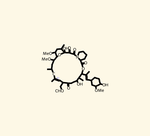 COC1CC(C=C(C)C2OC(=O)C3CCCCN3C(=O)C(=O)C3(O)OC(C(OC)CC(C)C/C(C)=C/C(CC=O)C(=O)CC(O)C2C)C(OC)CC3C)CCC1O